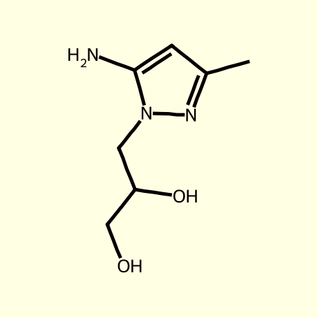 Cc1cc(N)n(CC(O)CO)n1